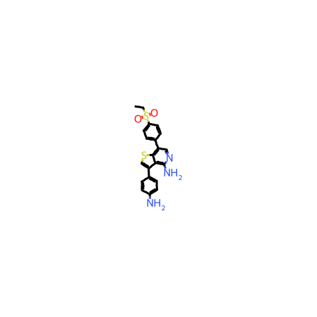 CCS(=O)(=O)c1ccc(-c2cnc(N)c3c(-c4ccc(N)cc4)csc23)cc1